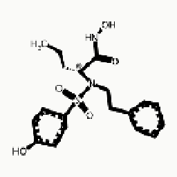 CCC[C@H](C(=O)NO)N(CCc1ccccc1)S(=O)(=O)c1ccc(O)cc1